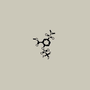 COC(=O)c1cc(S(=O)(=O)N(C)C)ccc1OS(=O)(=O)C(F)(F)F